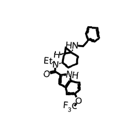 CCN(C(=O)c1cc2cc(OC(F)(F)F)ccc2[nH]1)[C@H]1CCC[C@]2(NCc3ccccc3)C[C@@H]12